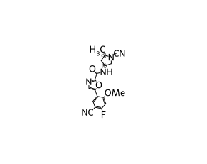 COc1cc(F)c(C#N)cc1-c1cnc(C(=O)N[C@@H]2C[C@H](C)N(C#N)C2)o1